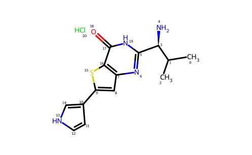 CC(C)[C@H](N)c1nc2cc(-c3cc[nH]c3)sc2c(=O)[nH]1.Cl